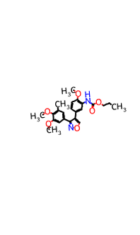 CCCOC(=O)Nc1cc(-c2conc2-c2cc(C)c(OC)c(OC)c2)ccc1OC